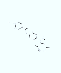 CNC(=O)c1ncn(-c2ccc(NC(=O)c3ccc(C#N)cc3)cc2)c1C(N)=O